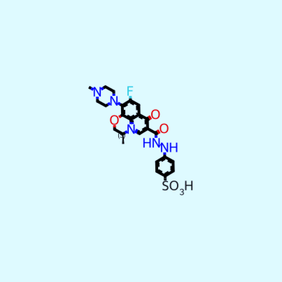 C[C@H]1COc2c(N3CCN(C)CC3)c(F)cc3c(=O)c(C(=O)NNc4ccc(S(=O)(=O)O)cc4)cn1c23